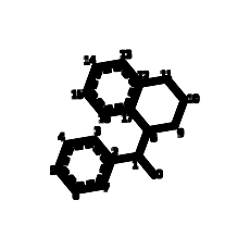 CC(c1ccccc1)C1CCCc2ccccc21